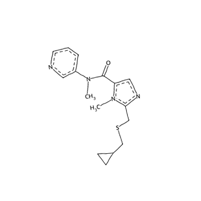 CN(C(=O)c1cnc(CSCC2CC2)n1C)c1cccnc1